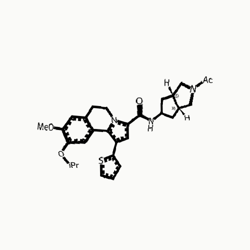 COc1cc2c(cc1OC(C)C)-c1c(-c3cccs3)cc(C(=O)NC3C[C@@H]4CN(C(C)=O)C[C@@H]4C3)n1CC2